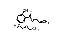 C=CCOC(=O)c1ccccc1O.CCOCC